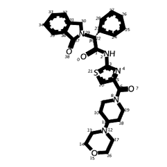 O=C(Nc1nc(C(=O)N2CCC(N3CCOCC3)CC2)cs1)[C@@H](c1ccccc1)N1Cc2ccccc2C1=O